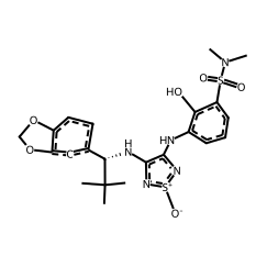 CN(C)S(=O)(=O)c1cccc(Nc2n[s+]([O-])nc2N[C@@H](c2ccc3c(c2)OCO3)C(C)(C)C)c1O